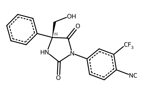 [C-]#[N+]c1ccc(N2C(=O)N[C@](CO)(c3ccccc3)C2=O)cc1C(F)(F)F